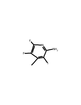 Cc1c(F)c(F)nc(N)c1I